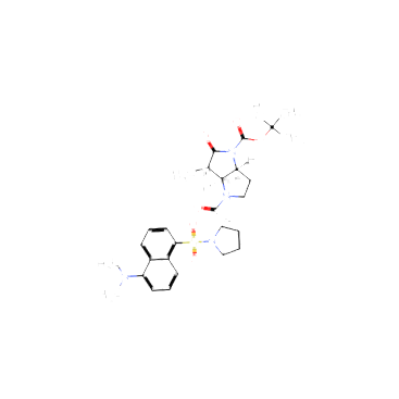 C[C@H]1C(=O)N(C(=O)OC(C)(C)C)[C@@H]2CCN(C(=O)[C@@H]3CCCN3S(=O)(=O)c3cccc4c(N(C)C)cccc34)[C@H]21